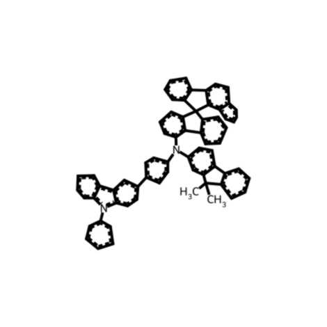 CC1(C)c2ccccc2-c2ccc(N(c3ccc(-c4ccc5c(c4)c4ccccc4n5-c4ccccc4)cc3)c3cccc4c3-c3ccccc3C43c4ccccc4-c4ccc5ccccc5c43)cc21